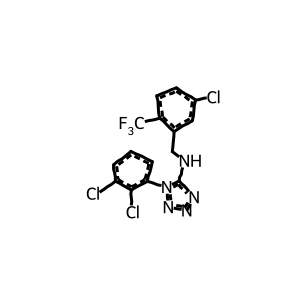 FC(F)(F)c1ccc(Cl)cc1CNc1nnnn1-c1cccc(Cl)c1Cl